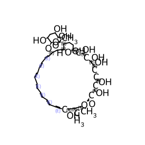 CC1OC(O[C@H]2/C=C/C=C/C=C/C=C/C=C/C=C/C=C/C[C@@H](O)[C@@H](C)[C@H](C)OC(=O)C[C@H](O)C[C@H](O)CC[C@@H](O)[C@H](O)C[C@H](O)C[C@]3(O)CC[C@@H](C(=O)O)[C@H](C2)O3)C(O)CC1O